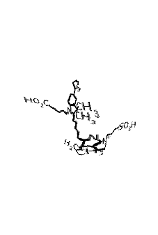 CC1(C)C(/C=C/C=C/C=C2/N(CCCCCC(=O)O)c3ccc(-c4cccs4)cc3C2(C)C)=Nc2c1ccc[n+]2CCCS(=O)(=O)O